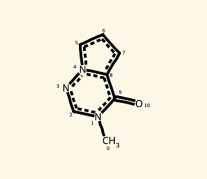 Cn1cnn2cccc2c1=O